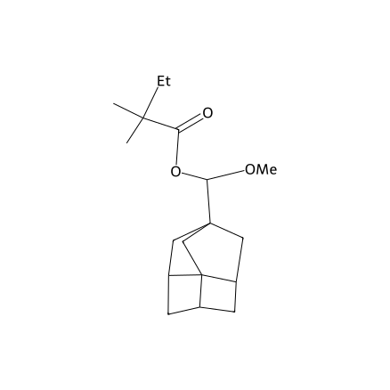 CCC(C)(C)C(=O)OC(OC)C12CC3CC4CC(C1)C43C2